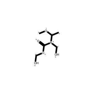 COC(C)N(CO)C(=O)OCO